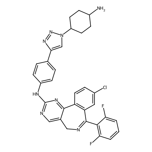 NC1CCC(n2cc(-c3ccc(Nc4ncc5c(n4)-c4ccc(Cl)cc4C(c4c(F)cccc4F)=NC5)cc3)nn2)CC1